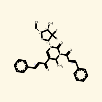 NC1C(C(=O)/C=C/c2ccccc2)=CN([C@@H]2O[C@H](CO)[C@@H](O)C2(F)F)C(=O)N1C(=O)/C=C/c1ccccc1